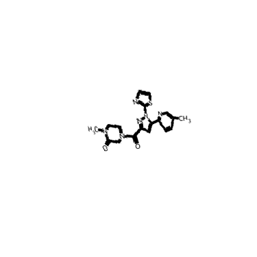 Cc1ccc(-c2cc(C(=O)N3CCN(C)C(=O)C3)nn2-c2nccs2)nc1